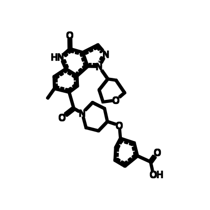 Cc1cc2[nH]c(=O)c3cnn(C4CCOCC4)c3c2cc1C(=O)N1CCC(Oc2cccc(C(=O)O)c2)CC1